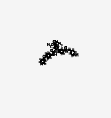 CC(C)(C)c1cc(NC(=O)Nc2ccc(Oc3ccncc3)cc2)n(-c2cccc(C(=O)NCC3CCNCC3)c2)n1